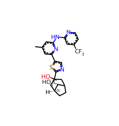 Cc1cc(Nc2cc(C(F)(F)F)ccn2)nc(-c2cnc(C3(O)CC4CC[C@@H](C3)C4C(=O)O)s2)c1